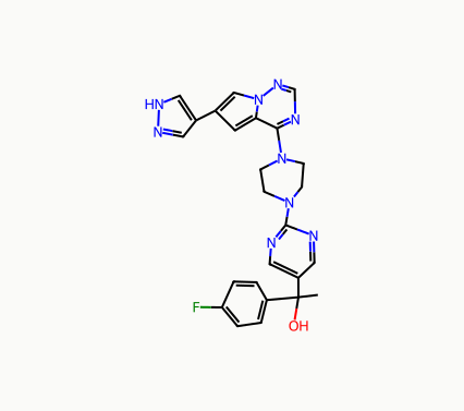 CC(O)(c1ccc(F)cc1)c1cnc(N2CCN(c3ncnn4cc(-c5cn[nH]c5)cc34)CC2)nc1